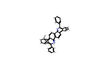 c1ccc(-c2nc3c(ccc4c3ccc3c5c(c(-c6ccccc6)nc34)C3CC[C@H]5C3)c3c2C2CCC3C2)cc1